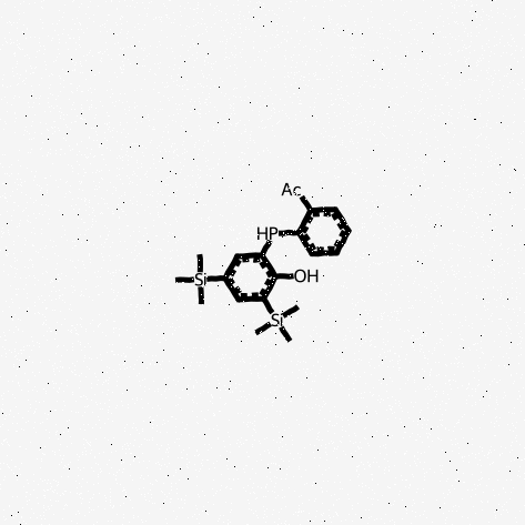 CC(=O)c1ccccc1Pc1cc([Si](C)(C)C)cc([Si](C)(C)C)c1O